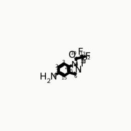 Nc1ccc2c(cnn2C(=O)C(F)(F)F)c1